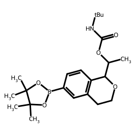 CC(OC(=O)NC(C)(C)C)C1OCCc2cc(B3OC(C)(C)C(C)(C)O3)ccc21